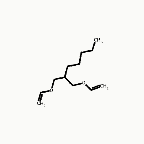 C=COCC(CCCCC)COC=C